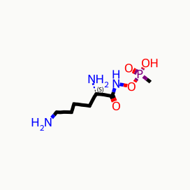 CP(=O)(O)ONC(=O)[C@@H](N)CCCCN